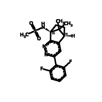 CC1(C)[C@H]2CC[C@]1(NS(C)(=O)=O)c1nnc(-c3c(F)cccc3F)cc12